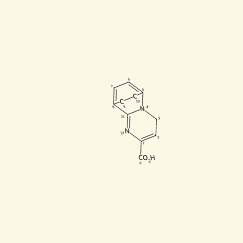 O=C(O)C1=CCN2C3=CC=C(CC3)C2=N1